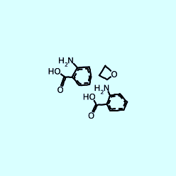 C1COC1.Nc1ccccc1C(=O)O.Nc1ccccc1C(=O)O